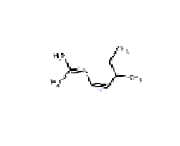 CCC(C)/C=C\N=C(/C)N